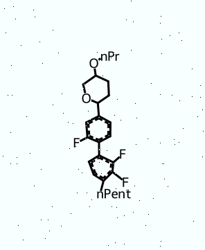 CCCCCc1ccc(-c2ccc(C3CCC(OCCC)CO3)cc2F)c(F)c1F